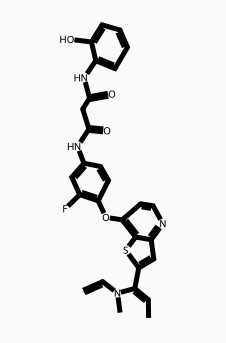 C=CN(C)/C(=C\C)c1cc2nccc(Oc3ccc(NC(=O)CC(=O)Nc4ccccc4O)cc3F)c2s1